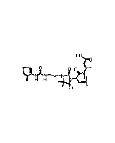 Cc1ccccc1NC(=O)NCCCN1C(=O)N(C(CC(C)C)C(=O)NC(C)CC(=O)O)C(=O)C1(C)C